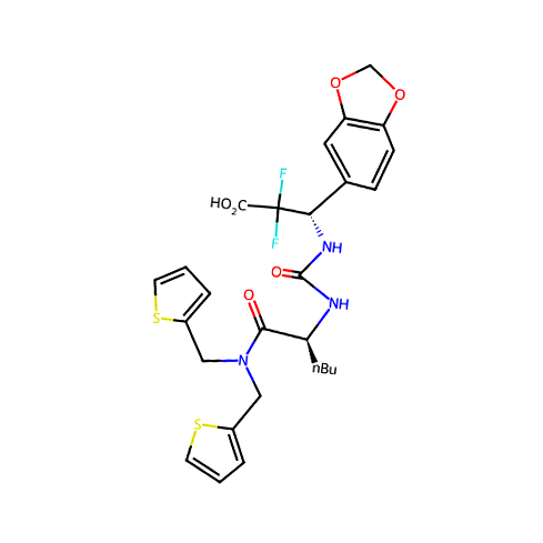 CCCC[C@H](NC(=O)N[C@@H](c1ccc2c(c1)OCO2)C(F)(F)C(=O)O)C(=O)N(Cc1cccs1)Cc1cccs1